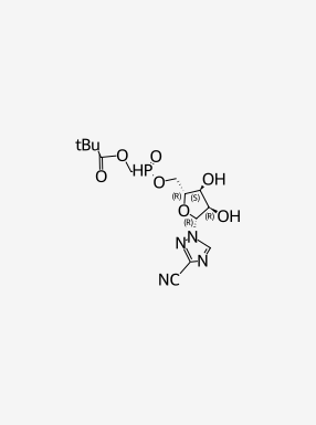 CC(C)(C)C(=O)OC[PH](=O)OC[C@H]1O[C@@H](n2cnc(C#N)n2)[C@H](O)[C@@H]1O